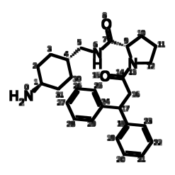 N[C@H]1CC[C@H](CNC(=O)[C@@H]2CCCN2C(=O)CC(c2ccccc2)c2ccccc2)CC1